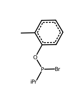 Cc1ccccc1OP(Br)C(C)C